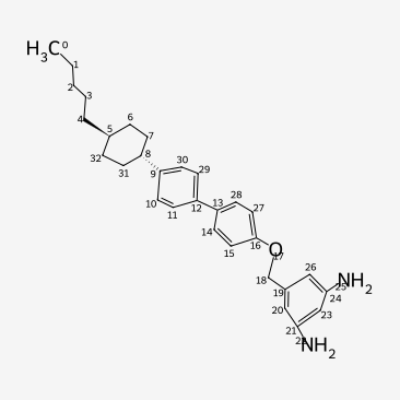 CCCCC[C@H]1CC[C@H](c2ccc(-c3ccc(OCc4cc(N)cc(N)c4)cc3)cc2)CC1